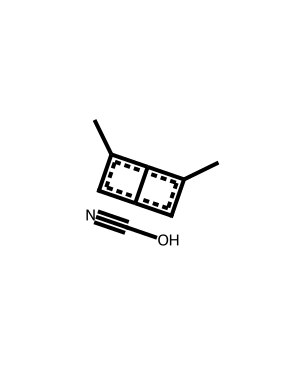 Cc1cc2cc(C)c1-2.N#CO